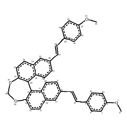 COc1ccc(/C=C/c2ccc3c4c(ccc3c2)OCOc2ccc3cc(/C=C/c5ccc(OC)cc5)ccc3c2-4)cc1